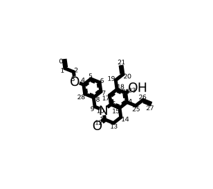 C=CCOc1cccc(CN2C(=O)CCc3c2cc(CC=C)c(O)c3CC=C)c1